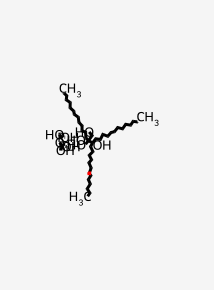 CCCCCCCCCCCCCC(O)C(CO)(CO)C(O)(CCCCCCCCCCCCC)CCCCCCCCCCCCC.OP(O)OP(O)O